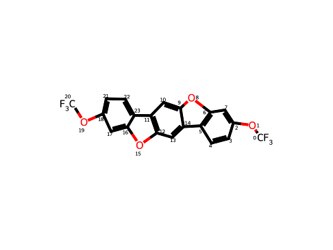 FC(F)(F)Oc1ccc2c(c1)oc1cc3c(cc12)oc1cc(OC(F)(F)F)ccc13